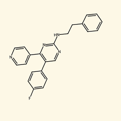 Fc1ccc(-c2cnc(NCCc3ccccc3)nc2-c2ccncc2)cc1